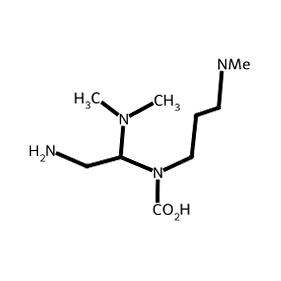 CNCCCN(C(=O)O)C(CN)N(C)C